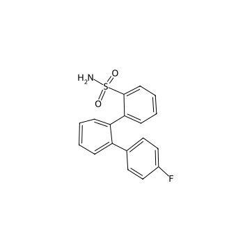 NS(=O)(=O)c1ccccc1-c1ccccc1-c1ccc(F)cc1